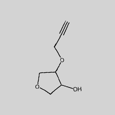 C#CCOC1COCC1O